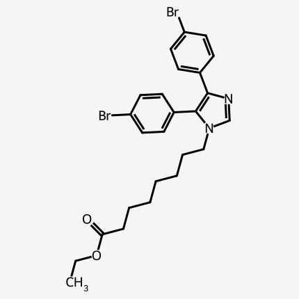 CCOC(=O)CCCCCCCn1cnc(-c2ccc(Br)cc2)c1-c1ccc(Br)cc1